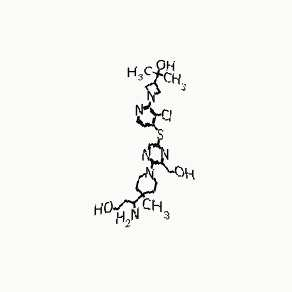 CC(C)(O)C1CN(c2nccc(Sc3cnc(N4CCC(C)(C(N)CCO)CC4)c(CO)n3)c2Cl)C1